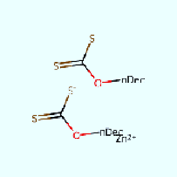 CCCCCCCCCCOC(=S)[S-].CCCCCCCCCCOC(=S)[S-].[Zn+2]